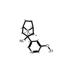 CCOc1cncc(C2(C#N)CC3CCC(C2)N3C=O)c1